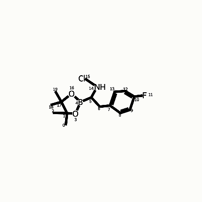 CC1(C)OB(C(Cc2ccc(F)cc2)NCl)OC1(C)C